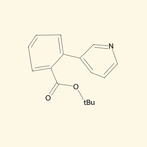 CC(C)(C)OC(=O)c1ccccc1-c1cccnc1